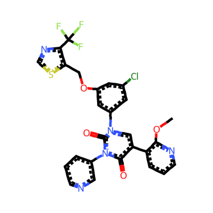 COc1ncccc1-c1cn(-c2cc(Cl)cc(OCc3scnc3C(F)(F)F)c2)c(=O)n(-c2cccnc2)c1=O